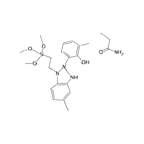 CCC(N)=O.CO[Si](CCN1c2ccc(C)cc2NN1c1cccc(C)c1O)(OC)OC